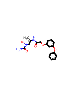 C[C@@H](CN(O)C(N)=O)NC(=O)COc1cccc(Oc2ccccc2)c1